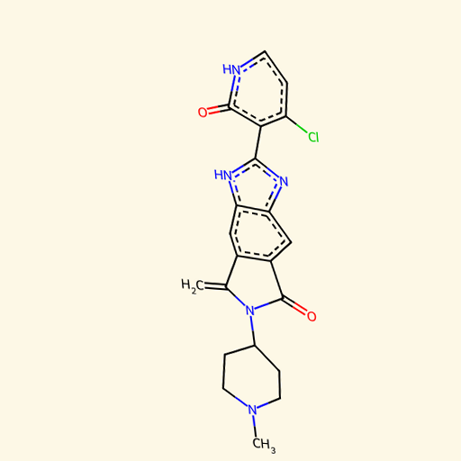 C=C1c2cc3[nH]c(-c4c(Cl)cc[nH]c4=O)nc3cc2C(=O)N1C1CCN(C)CC1